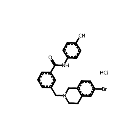 Cl.N#Cc1ccc(NC(=O)c2cccc(CN3CCc4cc(Br)ccc4C3)c2)cc1